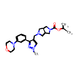 CCn1cc(CN2CC3CN(C(=O)OC(C(F)(F)F)C(F)(F)F)CC3C2)c(-c2cccc(N3CCOCC3)c2)n1